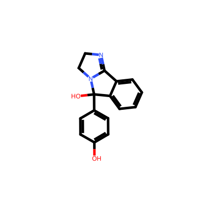 Oc1ccc(C2(O)c3ccccc3C3=NCCN32)cc1